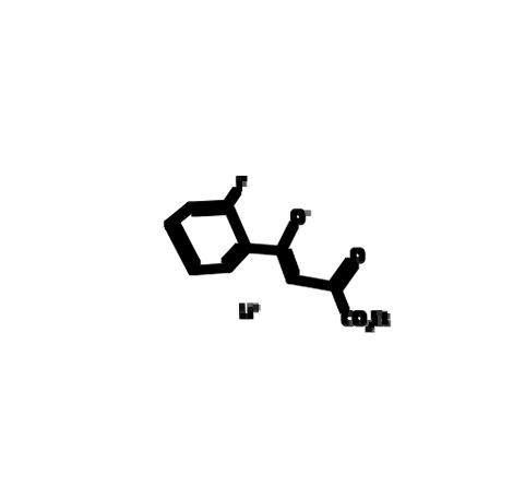 CCOC(=O)C(=O)C=C([O-])c1ccccc1F.[Li+]